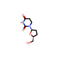 O=C1CCN([C@H]2CC[C@@H](CO)O2)C(=O)N1